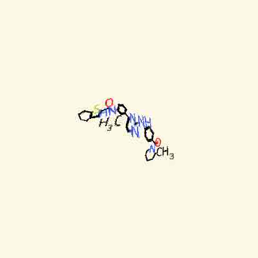 Cc1c(NC(=O)c2cc3c(s2)CCCC3)cccc1-c1ccnc(Nc2ccc(C(=O)N3CCCCC3C)cc2)n1